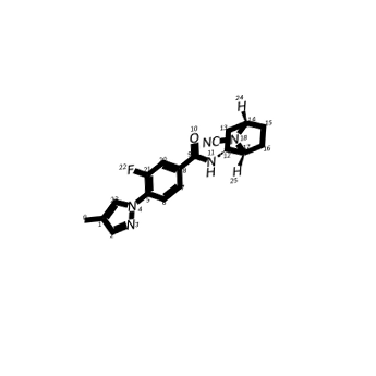 Cc1cnn(-c2ccc(C(=O)N[C@@H]3C[C@@H]4CC[C@H]3N4C#N)cc2F)c1